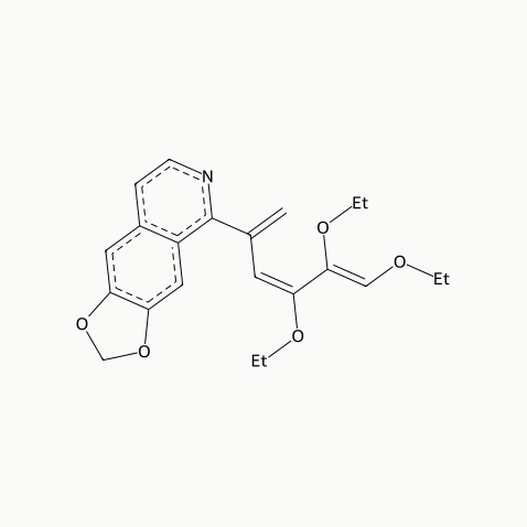 C=C(/C=C(OCC)\C(=C\OCC)OCC)c1nccc2cc3c(cc12)OCO3